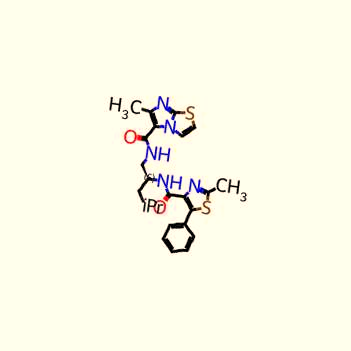 Cc1nc(C(=O)N[C@H](CNC(=O)c2c(C)nc3sccn23)CC(C)C)c(-c2ccccc2)s1